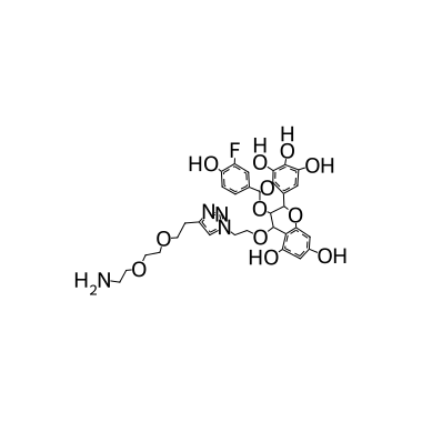 NCCOCCOCCc1cn(CCOC2c3c(O)cc(O)cc3OC(c3cc(O)c(O)c(O)c3)C2OC(=O)c2ccc(O)c(F)c2)nn1